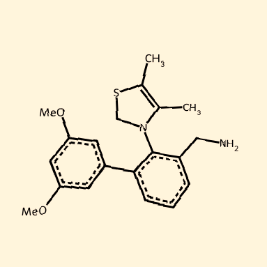 COc1cc(OC)cc(-c2cccc(CN)c2N2CSC(C)=C2C)c1